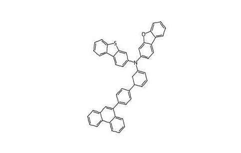 C1=CC(c2ccc(-c3cc4ccccc4c4ccccc34)cc2)CC(N(c2ccc3c(c2)oc2ccccc23)c2ccc3c(c2)sc2ccccc23)=C1